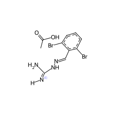 CC(=O)O.[H]/N=C(\N)NN=Cc1c(Br)cccc1Br